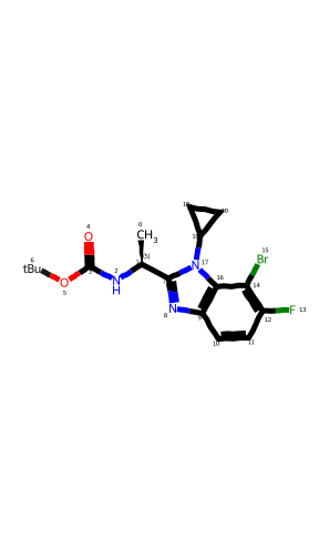 C[C@H](NC(=O)OC(C)(C)C)c1nc2ccc(F)c(Br)c2n1C1CC1